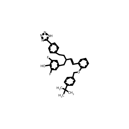 CC(C)(C)c1ccc(COc2ccccc2C=CC(CCc2ccc(-c3nnn[nH]3)cc2)Cc2cc(F)c(O)c(F)c2)cc1